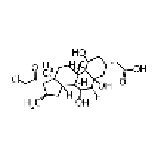 C=C1C[C@H]2[C@@H]3[C@H](O)[C@@H](F)[C@@]4(O)C[C@@H](CC(=O)O)CC(O)[C@]4(C)[C@H]3CC[C@]2(C)[C@H]1C(=O)CCl